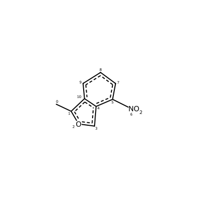 Cc1occ2c([N+](=O)[O-])cccc12